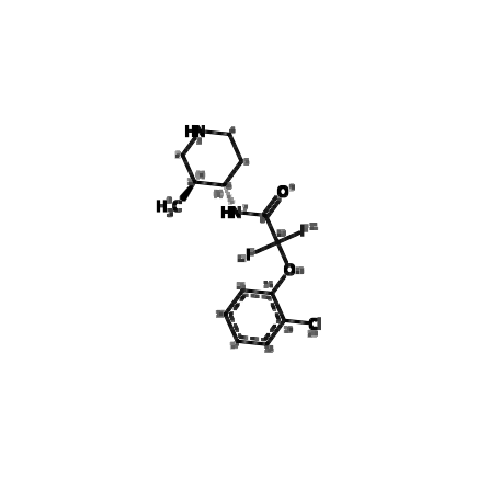 C[C@H]1CNCC[C@@H]1NC(=O)C(F)(F)Oc1ccccc1Cl